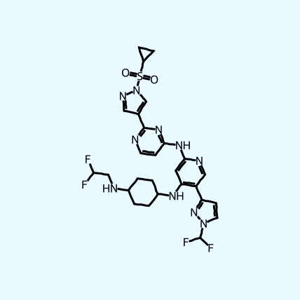 O=S(=O)(C1CC1)n1cc(-c2nccc(Nc3cc(NC4CCC(NCC(F)F)CC4)c(-c4ccn(C(F)F)n4)cn3)n2)cn1